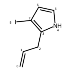 C=CCc1[nH]ccc1I